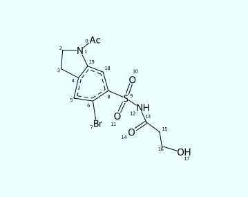 CC(=O)N1CCc2cc(Br)c(S(=O)(=O)NC(=O)CCO)cc21